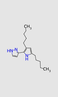 CCCCCc1cc(CCCCC)c(-c2cc[nH]n2)[nH]1